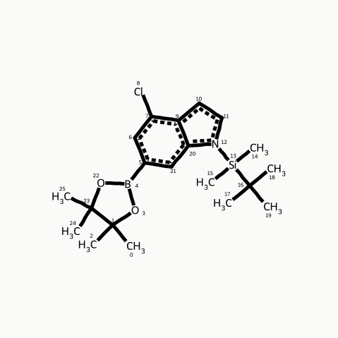 CC1(C)OB(c2cc(Cl)c3ccn([Si](C)(C)C(C)(C)C)c3c2)OC1(C)C